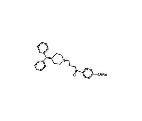 COc1ccc(C(=O)CCCN2CCC(=C(c3ccccc3)c3ccccc3)CC2)cc1